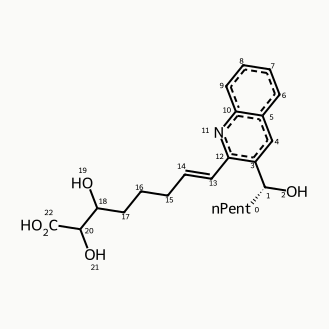 CCCCC[C@@H](O)c1cc2ccccc2nc1C=CCCCC(O)C(O)C(=O)O